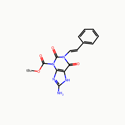 CC(C)(C)OC(=O)n1c(=O)n(C=Cc2ccccc2)c(=O)c2[nH]c(N)nc21